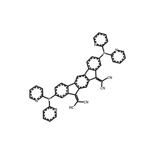 N#CC(C#N)=C1c2cc(P(c3ccccn3)c3ccccn3)ccc2-c2cc3c(cc21)C(=C(C#N)C#N)c1cc(P(c2ccccn2)c2ccccn2)ccc1-3